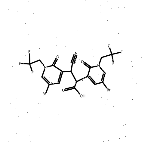 N#CC(c1cc(Br)cn(CC(F)(F)F)c1=O)C(C(=O)O)c1cc(Br)cn(CC(F)(F)F)c1=O